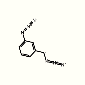 [N-]=[N+]=N[CH]c1cccc(N=[N+]=[N-])c1